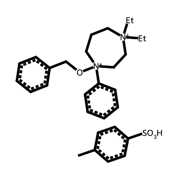 CC[N+]1(CC)CCC[N+](OCc2ccccc2)(c2ccccc2)CC1.Cc1ccc(S(=O)(=O)O)cc1